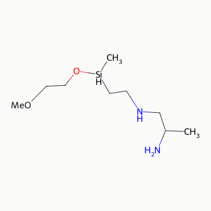 COCCO[SiH](C)CCNCC(C)N